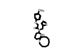 COc1ccc(OCC(=O)N(Cc2cccs2)C2CCCC3(CCCCCCCCC3)N2)cc1